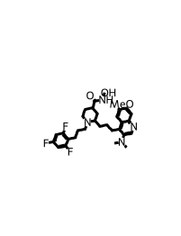 COc1ccc2ncc(N(C)C)c(CCCC3CC(C(=O)NO)CCN3CCCc3c(F)cc(F)cc3F)c2c1